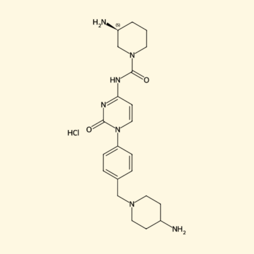 Cl.NC1CCN(Cc2ccc(-n3ccc(NC(=O)N4CCC[C@H](N)C4)nc3=O)cc2)CC1